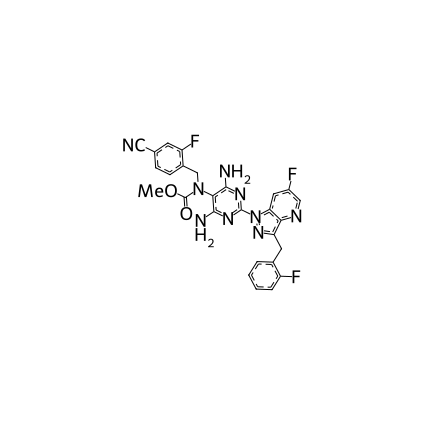 COC(=O)N(Cc1ccc(C#N)cc1F)c1c(N)nc(-n2nc(Cc3ccccc3F)c3ncc(F)cc32)nc1N